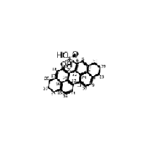 O=S(=O)(O)c1cc2c3c(ccc4c5ccc6c7c(cc(O)c(c1c34)c75)CCC6)CCC2